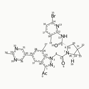 CC(=O)c1nn(CC(=O)N2[C@H](C(=O)Nc3nc(Br)ccc3C)CC3(C)C[C@@H]23)c2c(C)cc(-c3cnc(C)nc3)cc12